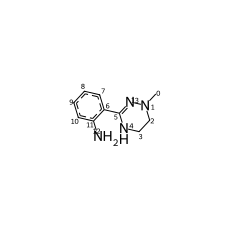 CN1CCNC(c2ccccc2N)=N1